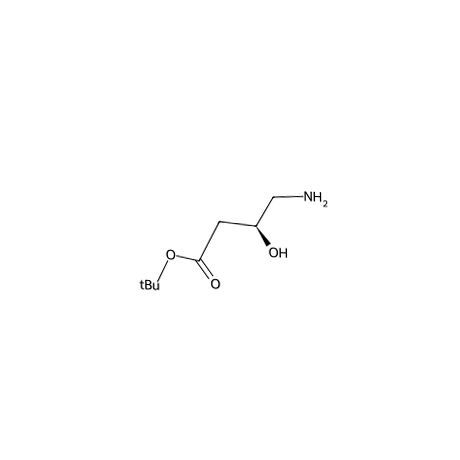 CC(C)(C)OC(=O)C[C@H](O)CN